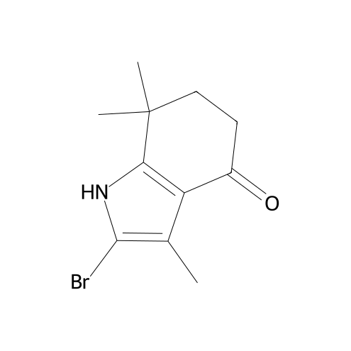 Cc1c(Br)[nH]c2c1C(=O)CCC2(C)C